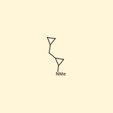 CNC1CC1CC1CC1